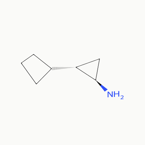 N[C@@H]1C[C@H]1C1CCC1